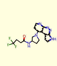 O=C(CCC(F)(F)F)NC1CCN(c2ccnc3nnc4[nH]ccc4c23)C1